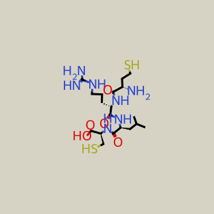 CC(C)C[C@H](NC(=O)[C@H](CCCNC(=N)N)NC(=O)[C@@H](N)CCS)C(=O)N[C@@H](CS)C(=O)O